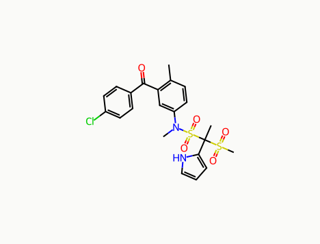 Cc1ccc(N(C)S(=O)(=O)C(C)(c2ccc[nH]2)S(C)(=O)=O)cc1C(=O)c1ccc(Cl)cc1